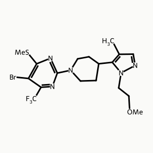 COCCn1ncc(C)c1C1CCN(c2nc(SC)c(Br)c(C(F)(F)F)n2)CC1